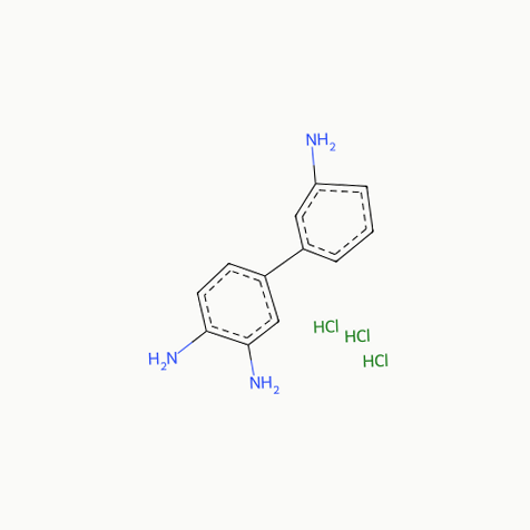 Cl.Cl.Cl.Nc1cccc(-c2ccc(N)c(N)c2)c1